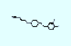 N#CC=CCCC1CCC(OCc2ccc(F)c(F)c2)CC1